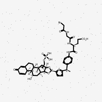 C[C@H](c1ccc(NC(=O)[C@H](CCC(=O)O)NC(=O)CNC(=O)CBr)cc1)c1ccc([C@@H]2O[C@@H]3C[C@H]4[C@@H]5CCC6=CC(=O)C=C[C@]6(C)[C@H]5[C@@H](O)C[C@]4(C)[C@]3(C(=O)COP(=O)(O)O)O2)s1